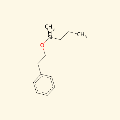 CCC[SiH](C)OCCc1ccccc1